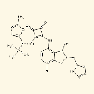 Cc1ccc([C@H](Nc2c(Nc3ccc(Cl)c4c3C(O)N(Cc3ccn[nH]3)C4)c(=O)c2=O)C(C)(C)C)o1